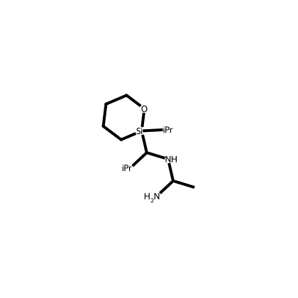 CC(N)NC(C(C)C)[Si]1(C(C)C)CCCCO1